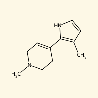 Cc1cc[nH]c1C1=CCN(C)CC1